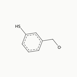 [O]Cc1cccc(S)c1